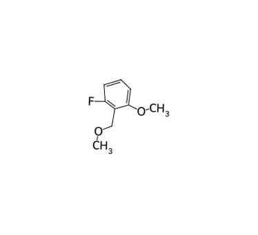 COCc1c(F)cccc1OC